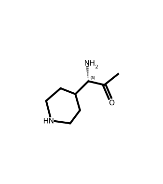 CC(=O)[C@@H](N)C1CCNCC1